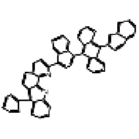 c1ccc(-c2c3ccccc3nc3c2ccc2ccc(-c4ccc(-c5c6ccccc6c(-c6ccc7ccccc7c6)c6ccccc56)c5ccccc45)nc23)cc1